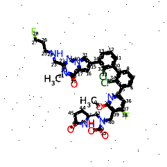 COc1nc(-c2cccc(-c3cccc(-c4cc5c(=O)n(C)c(CNCCCF)nn5c4)c3Cl)c2Cl)cc(F)c1CN(C[C@@H]1CCC(=O)N1)C(=O)O